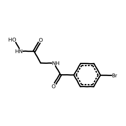 O=C(CNC(=O)c1ccc(Br)cc1)NO